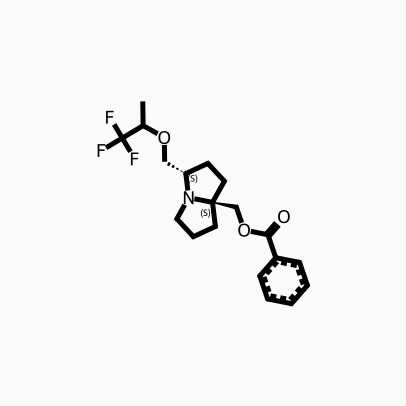 CC(OC[C@@H]1CC[C@]2(COC(=O)c3ccccc3)CCCN12)C(F)(F)F